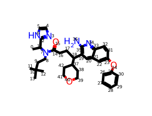 CC(c1ncc[nH]1)N(CCC(C)(C)C)C(=O)CCC(c1cc2cc(Oc3ccccc3)ccc2nc1N)C1CCOCC1